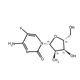 C[C@@H]1[C@H](O)[C@@H](CO)O[C@H]1n1cc(F)c(N)nc1=O